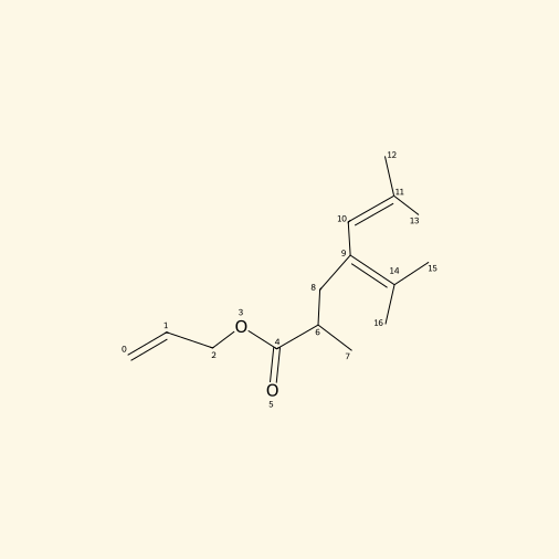 C=CCOC(=O)C(C)CC(C=C(C)C)=C(C)C